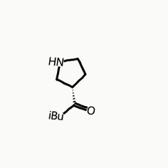 CCC(C)C(=O)[C@H]1CCNC1